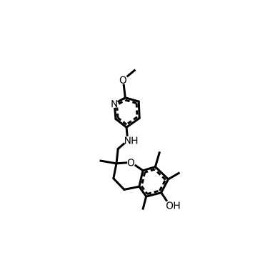 COc1ccc(NCC2(C)CCc3c(C)c(O)c(C)c(C)c3O2)cn1